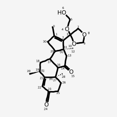 CC1=C(C2(OCO)COCO2)[C@@]2(C)CC(=O)C3C(C[C@H](C)C4=CC(=O)CC[C@@]43C)C2C1